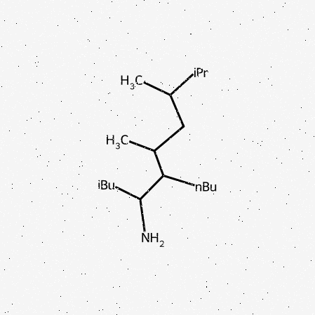 CCCCC(C(C)CC(C)C(C)C)C(N)C(C)CC